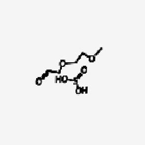 COCCOCC=O.O=S(O)O